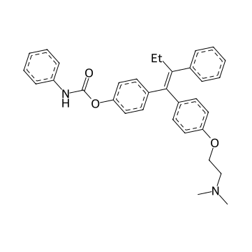 CCC(=C(c1ccc(OCCN(C)C)cc1)c1ccc(OC(=O)Nc2ccccc2)cc1)c1ccccc1